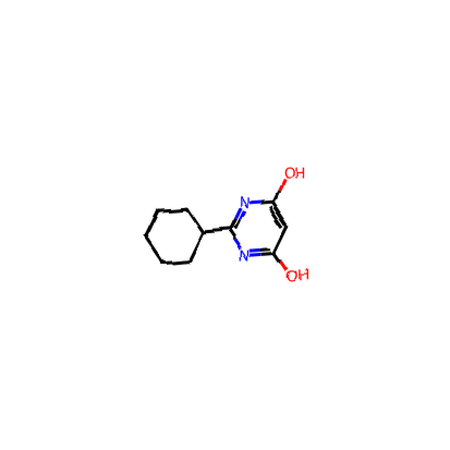 Oc1cc(O)nc(C2CCCCC2)n1